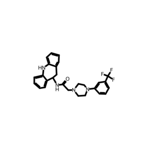 O=C(CN1CCN(c2cccc(C(F)(F)F)c2)CC1)NC1Cc2ccccc2Nc2ccccc21